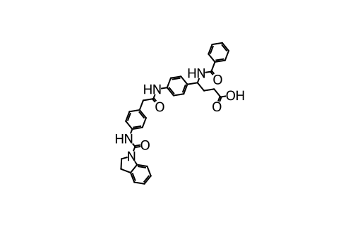 O=C(O)CCC(NC(=O)c1ccccc1)c1ccc(NC(=O)Cc2ccc(NC(=O)N3CCc4ccccc43)cc2)cc1